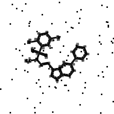 CN(N=Cc1cnc2ccc(-c3cccnc3)cn12)S(=O)(=O)c1cc(Br)ccc1Br